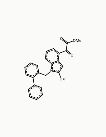 CCCc1cc2c(C(=O)C(=O)OC)cccc2n1Cc1ccccc1-c1ccccc1